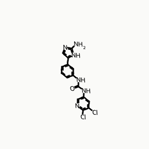 Nc1ncc(-c2cccc(NC(=O)Nc3cnc(Cl)c(Cl)c3)c2)[nH]1